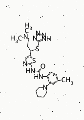 Cc1ccc(NC(=O)Nc2ncc(C(CCN(C)C)Sc3nnn[nH]3)s2)c(N2CCCCC2)c1